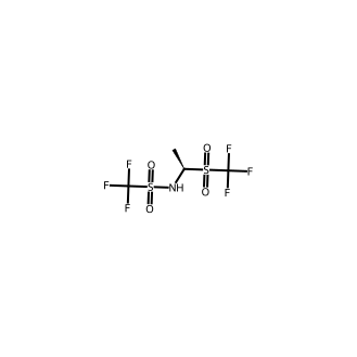 C[C@H](NS(=O)(=O)C(F)(F)F)S(=O)(=O)C(F)(F)F